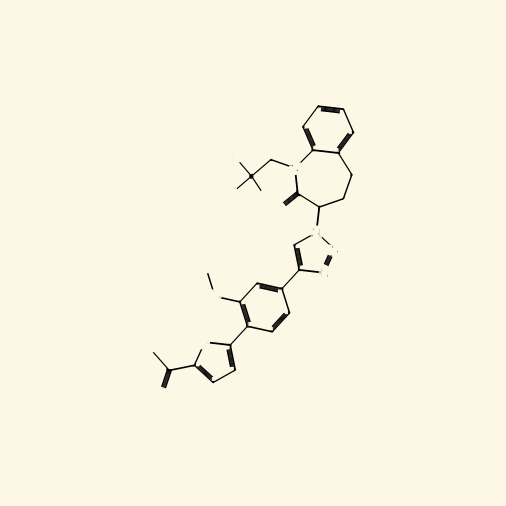 COc1cc(-c2cn(C3CCc4ccccc4N(CC(F)(F)F)C3=O)nn2)ccc1-c1ccc(C(C)=O)s1